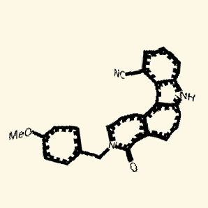 COc1ccc(Cn2ccc3c(ccc4[nH]c5cccc(C#N)c5c43)c2=O)cc1